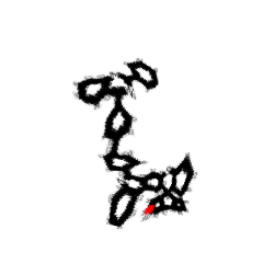 c1ccc(-c2nc(-c3ccc(-c4ccc(-c5nc6ccccc6c6cc7c(cc56)Sc5ccccc5C75c6ccccc6-c6ccccc65)cc4)cc3)c3ccccc3n2)cc1